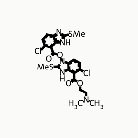 CSc1nc2ccc(Cl)c(C(=O)ON3c4ccc(Cl)c(C(=O)OCCN(C)C)c4NC3SC)c2[nH]1